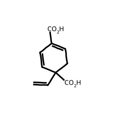 C=CC1(C(=O)O)C=CC(C(=O)O)=CC1